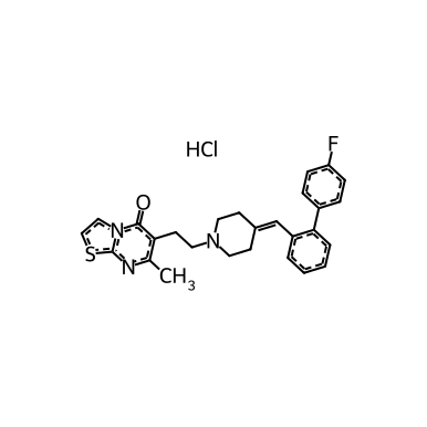 Cc1nc2sccn2c(=O)c1CCN1CCC(=Cc2ccccc2-c2ccc(F)cc2)CC1.Cl